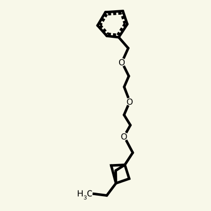 CCC12CC(COCCOCCOCc3ccccc3)(C1)C2